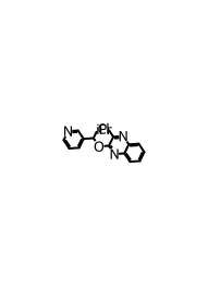 CC(C)C(Oc1nc2ccccc2nc1Cl)c1cccnc1